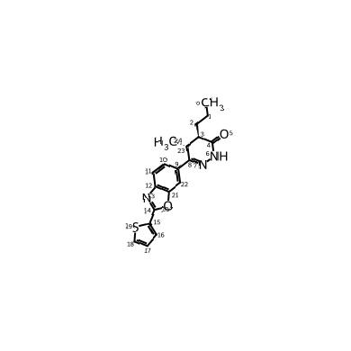 CCC[C@H]1C(=O)NN=C(c2ccc3nc(-c4cccs4)oc3c2)[C@@H]1C